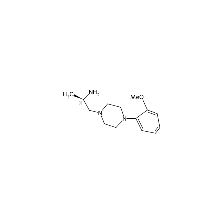 COc1ccccc1N1CCN(C[C@@H](C)N)CC1